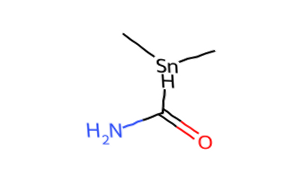 [CH3][SnH]([CH3])[C](N)=O